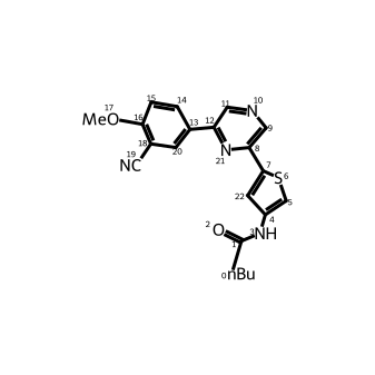 CCCCC(=O)Nc1csc(-c2cncc(-c3ccc(OC)c(C#N)c3)n2)c1